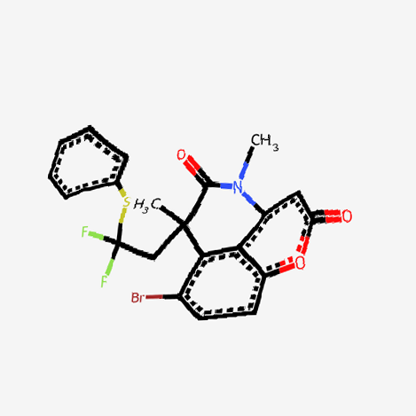 CN1C(=O)C(C)(CC(F)(F)Sc2ccccc2)c2c(Br)ccc3oc(=O)cc1c23